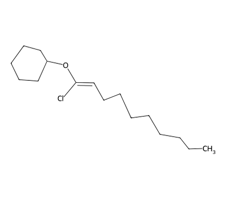 CCCCCCCCC=C(Cl)OC1CCCCC1